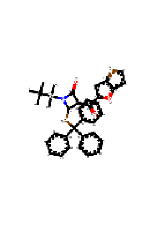 CC(C)(C)[Si](C)(C)N1C(=O)C(C(=O)c2cc3sccc3o2)C1SC(c1ccccc1)(c1ccccc1)c1ccccc1